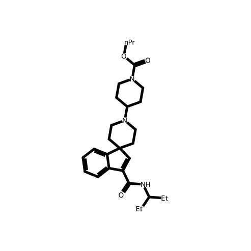 CCCOC(=O)N1CCC(N2CCC3(C=C(C(=O)NC(CC)CC)c4ccccc43)CC2)CC1